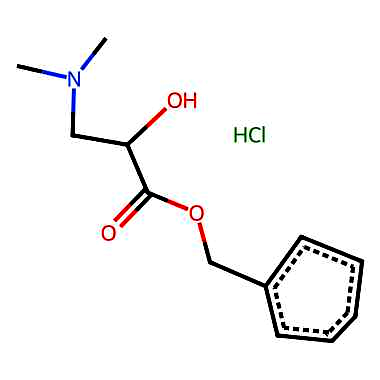 CN(C)CC(O)C(=O)OCc1ccccc1.Cl